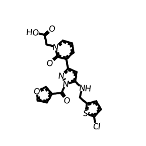 O=C(O)Cn1cccc(-c2cc(NCc3ccc(Cl)s3)n(C(=O)c3ccoc3)n2)c1=O